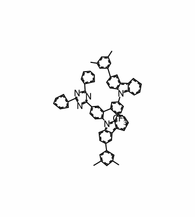 Cc1cc(C)cc(-c2ccc3c(c2)c2ccccc2n3-c2ccc(C(F)(F)F)c(-c3cc(-c4nc(-c5ccccc5)nc(-c5ccccc5)n4)ccc3-n3c4ccccc4c4cc(-c5cc(C)cc(C)c5)ccc43)c2)c1